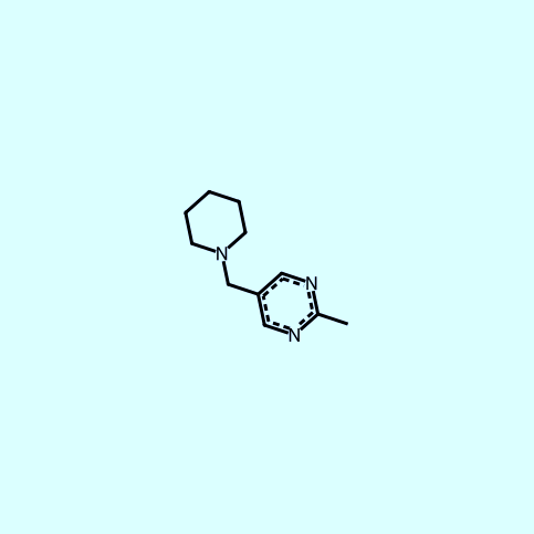 Cc1ncc(CN2CCCCC2)cn1